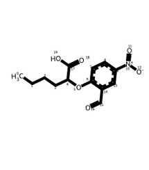 CCCCC(Oc1ccc([N+](=O)[O-])cc1C=O)C(=O)O